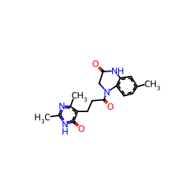 Cc1ccc2c(c1)NC(=O)CN2C(=O)CCc1c(C)nc(C)[nH]c1=O